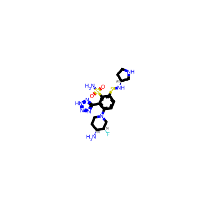 N[C@@H]1CCN(c2ccc(SN[C@@H]3CCNC3)c(S(N)(=O)=O)c2-c2nn[nH]n2)C[C@@H]1F